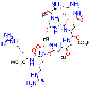 CCCC[C@H](NC(=O)[C@@H](NC(=O)[C@H](CC(=O)O)NC(=O)[C@H](CCC(N)=O)NC(=O)[C@H](CC(C)C)NC(=O)[C@H](CC(C)C)NC(=O)[C@@H](N)CCCN)[C@@H](C)CC)C(=O)N[C@H](CCCNC(=N)N)C(=O)N[C@@H](CCCCNC(=N)N)C(=O)O